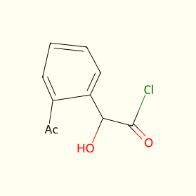 CC(=O)c1ccccc1C(O)C(=O)Cl